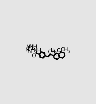 CC(=Cc1ccc(C(=O)Nc2nnn[nH]2)cc1)c1ccc2c(c1)C(C)(C)CCC2